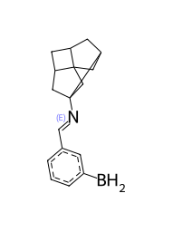 Bc1cccc(/C=N/C23CC4CC5CC2CC54C3)c1